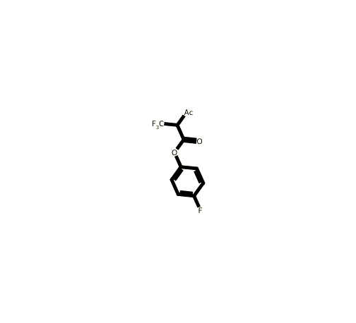 CC(=O)C(C(=O)Oc1ccc(F)cc1)C(F)(F)F